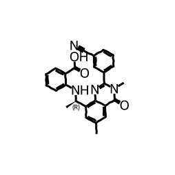 Cc1cc([C@@H](C)Nc2ccccc2C(=O)O)c2nc(-c3cccc(C#N)c3)n(C)c(=O)c2c1